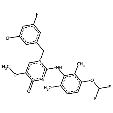 COc1cn(Cc2cc(F)cc(Cl)c2)c(Nc2c(C)ccc(OC(F)F)c2C)nc1=O